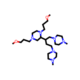 COCCCN1CCN(CCCOC)C(C(CCN2CCN(C)CC2)CN2CCN(C)CC2)C1